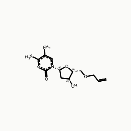 C=CCOC[C@H]1O[C@@H](n2cc(N)c(N)nc2=O)C[C@@H]1O